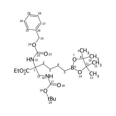 CCOC(=O)C(CCCCB1OC(C)(C)C(C)(C)O1)(CNC(=O)OC(C)(C)C)NC(=O)OCc1ccccc1